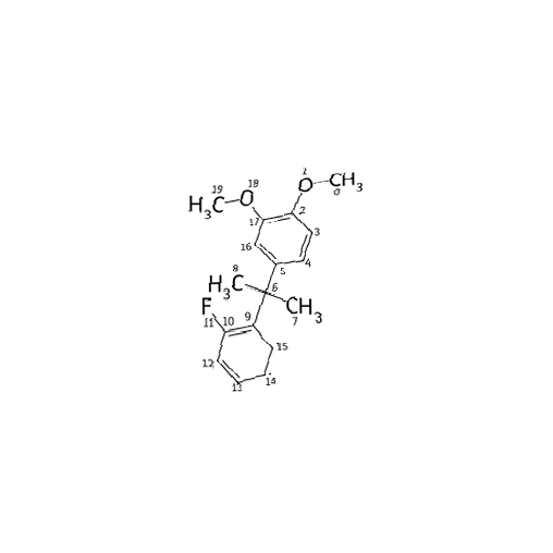 COc1ccc(C(C)(C)C2=C(F)C=C[CH]C2)cc1OC